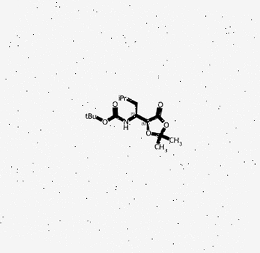 CC(C)C[C@H](NC(=O)OC(C)(C)C)[C@@H]1OC(C)(C)OC1=O